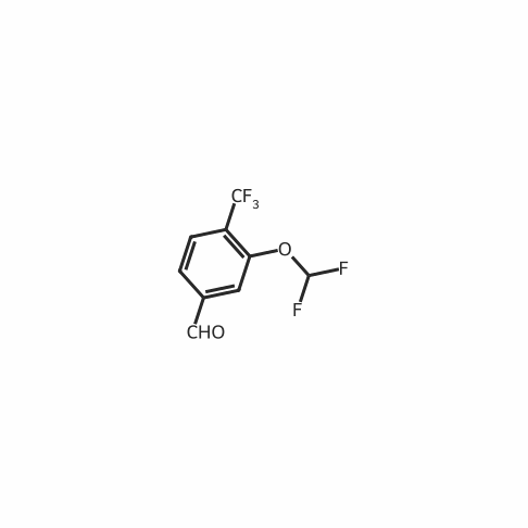 O=Cc1ccc(C(F)(F)F)c(OC(F)F)c1